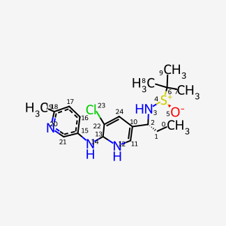 CC[C@@H](N[S@+]([O-])C(C)(C)C)C1=CNC(Nc2ccc(C)nc2)C(Cl)=C1